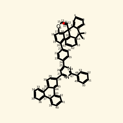 CC1(C)c2ccccc2C2(c3ccccc3Oc3ccc(-c4ccc(-c5cc(-c6ccc7c8ccccc8c8ccccc8c7c6)nc(-c6ccccc6)n5)cc4)cc32)c2ccccc21